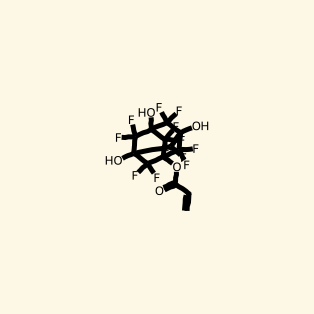 C=CC(=O)OC12C(F)(F)C3(O)C(F)(F)C(O)(C(F)(F)C(O)(C3(F)F)C1(F)F)C2(F)F